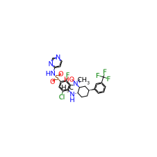 C[N+](C)(O)[C@H]1C[C@@H](c2cccc(C(F)(F)F)c2)CC[C@@H]1Nc1cc(F)c(S(=O)(=O)Nc2ccncn2)cc1Cl